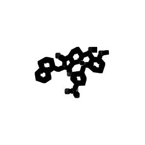 COc1ccccc1C(O)C1C=CC2C(=O)N(Cc3cccc4ccccc34)C(=O)C2N1Nc1ccc([N+](=O)[O-])cc1